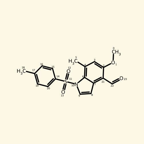 COc1cc(C)c2c(ccn2S(=O)(=O)c2ccc(C)cc2)c1C=O